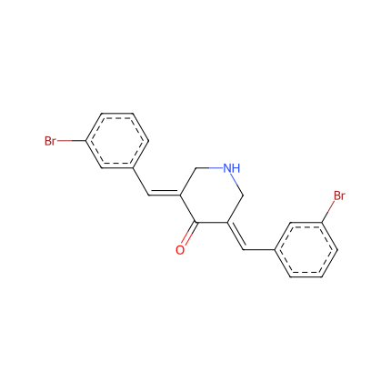 O=C1/C(=C/c2cccc(Br)c2)CNC/C1=C\c1cccc(Br)c1